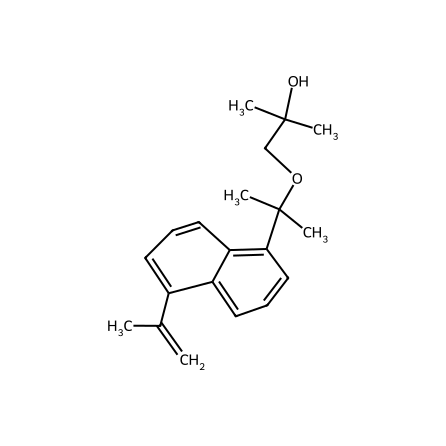 C=C(C)c1cccc2c(C(C)(C)OCC(C)(C)O)cccc12